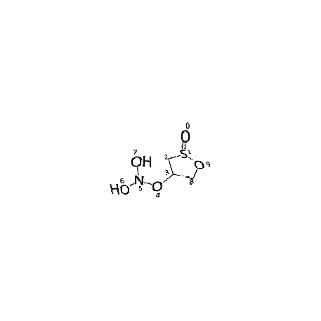 O=S1CC(ON(O)O)CO1